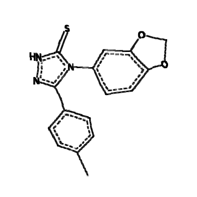 Cc1ccc(-c2n[nH]c(=S)n2-c2ccc3c(c2)OCO3)cc1